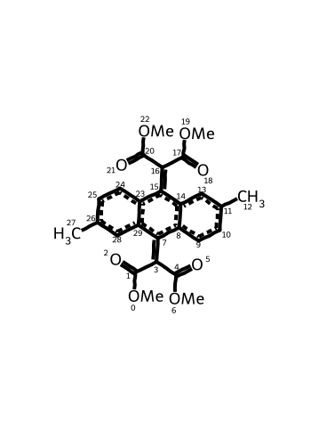 COC(=O)C(C(=O)OC)=c1c2ccc(C)cc2c(=C(C(=O)OC)C(=O)OC)c2ccc(C)cc12